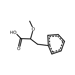 COC(Cc1ccccc1)C(=O)O